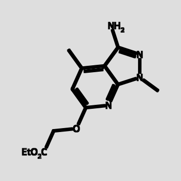 CCOC(=O)COc1cc(C)c2c(N)nn(C)c2n1